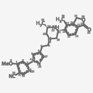 COc1cc(-n2cc(CCN3C[C@@H](c4ccc5c(c4C)COC5=O)N[C@@H](C)C3)cn2)ncc1C#N